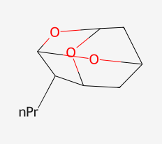 CCCC1C2CC3CC(O2)OC1O3